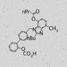 CCCCc1nc2c(C)ccc(OC(=O)CCC)c2n1Cc1ccc(-c2ccccc2OC(=O)O)cc1